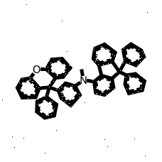 CN(c1cccc(C2(c3ccccc3)c3ccccc3Oc3ccccc32)c1)c1cccc2c1-c1ccccc1C2(c1ccccc1)c1ccccc1